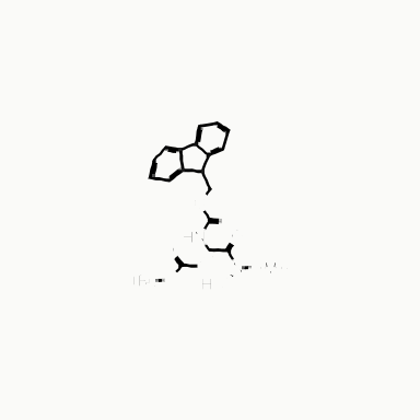 CON(C)C(=O)[C@H](CC(=O)OC(C)(C)C)NC(=O)OCC1c2ccccc2-c2ccccc21